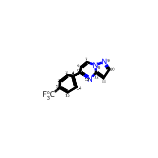 FC(F)(F)c1ccc(-c2ccn3nccc3n2)cc1